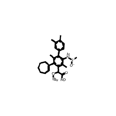 Cc1ccc(-c2c(C)c(C3=CCCCCC3)c(C(OC(C)(C)C)C(=O)N=O)c(C)c2N[S+](C)[O-])cc1C